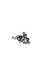 CC1(C)CCC(C)(C)c2cc(C(N)C(=O)Nc3ccc(C(=O)O)s3)ccc21